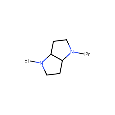 CCN1CCC2C1CCN2C(C)C